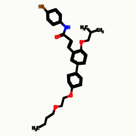 CCCCOCCOc1ccc(-c2ccc(OCC(C)C)c(/C=C/C(=O)Nc3ccc(S)cc3)c2)cc1